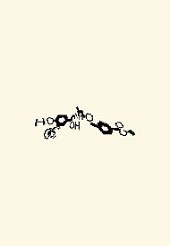 CCOC(=O)c1ccc(COCCC(C)NCC(O)c2ccc(O)c([S+](C)[O-])c2)cc1